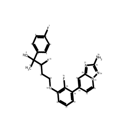 CC(O)(c1ccc(F)cc1)C(F)CCOc1cccc(-c2ccn3nc(N)nc3c2)c1F